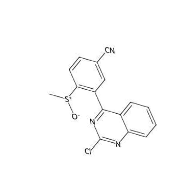 C[S+]([O-])c1ccc(C#N)cc1-c1nc(Cl)nc2ccccc12